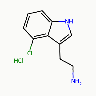 Cl.NCCc1c[nH]c2cccc(Cl)c12